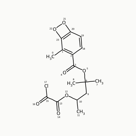 Cc1c(C(=O)OC(C)(C)CC(C)OC(=O)C(=O)Cl)ccc2ooc12